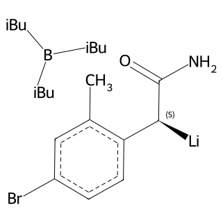 CCC(C)B(C(C)CC)C(C)CC.[Li][C@H](C(N)=O)c1ccc(Br)cc1C